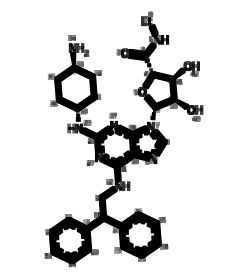 CCNC(=O)[C@H]1O[C@@H](n2cnc3c(NCC(c4ccccc4)c4ccccc4)nc(N[C@H]4CC[C@H](N)CC4)nc32)[C@H](O)[C@@H]1O